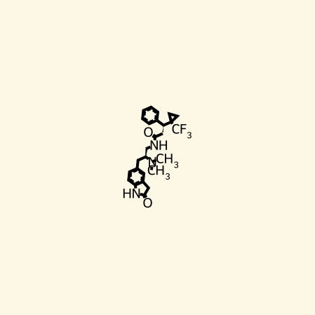 CN(C)[C@H](CNC(=O)C[C@H](c1ccccc1)C1(C(F)(F)F)CC1)Cc1ccc2c(c1)CC(=O)N2